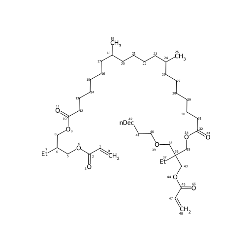 C=CC(=O)OCC(CC)COC(=O)CCCCCCC(C)CCCCC(C)CCCCCCC(=O)OCC(CC)(COCCCCCCCCCCCC)COC(=O)C=C